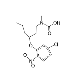 CCCC(CCN(C)C(=O)O)Oc1cc(Cl)ccc1[N+](=O)[O-]